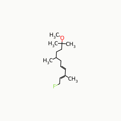 COC(C)(C)CCC(C)CC=CC(C)=CCF